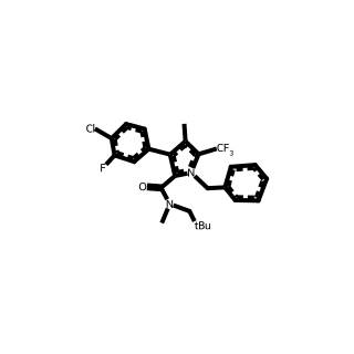 Cc1c(-c2ccc(Cl)c(F)c2)c(C(=O)N(C)CC(C)(C)C)n(Cc2ccccc2)c1C(F)(F)F